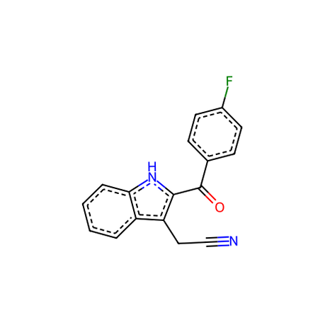 N#CCc1c(C(=O)c2ccc(F)cc2)[nH]c2ccccc12